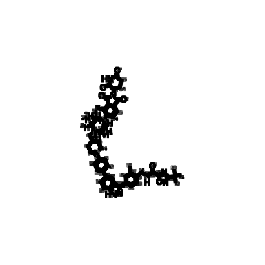 [2H]C1([2H])N(CC2CCN(c3ccc(-c4ccc5[nH]nc(-c6ccc(CNC(=O)c7nc(C(C)(C)C)no7)c(C)c6)c5c4)cc3)CC2)C([2H])([2H])C([2H])([2H])N(c2ccc3c(c2F)C(=O)N(C2CCC(=O)NC2=O)C3=O)C1([2H])[2H]